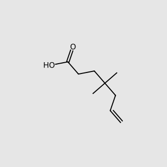 C=CCC(C)(C)CCC(=O)O